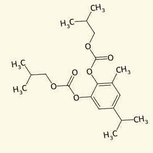 Cc1cc(C(C)C)cc(OC(=O)OCC(C)C)c1OC(=O)OCC(C)C